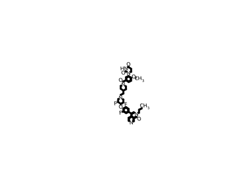 CCCCn1cc(-c2cc(F)c(O[C@@H]3CCN(CCC4CCN(C(=O)c5ccc(OC)c(N6CCC(=O)NC6=O)c5)CC4)C[C@H]3F)c(F)c2)c2ccncc2c1=O